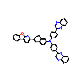 c1ccc2nc(-c3ccc(N(c4ccc(-c5cnc6ccccc6n5)cc4)c4ccc5cc(-c6ccc7c(n6)oc6ccccc67)ccc5c4)cc3)cnc2c1